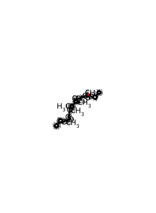 CC(=COc1cccc(-c2ccccc2)c1)C(=O)OCCCOc1c(C)cc(-c2cc(C)c(OCCCOC(=O)C(C)=COc3cccc(-c4ccccc4)c3)c(C)c2)cc1C